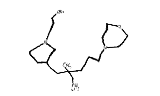 CC(C)(C)CCN1CCC(CC(C)(C)CCCN2CCOCC2)C1